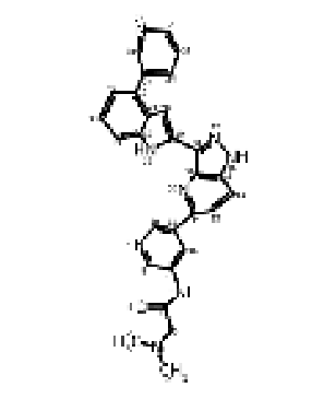 CN(C)CC(=O)Nc1cncc(-c2ccc3[nH]nc(-c4cc5c(-c6cccnc6)cccc5[nH]4)c3n2)c1